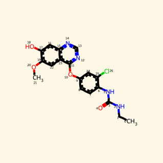 CCNC(=O)Nc1ccc(Oc2ncnc3cc(O)c(OC)cc23)cc1Cl